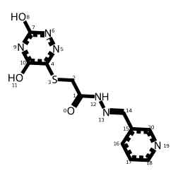 O=C(CSc1nnc(O)nc1O)N/N=C/c1cccnc1